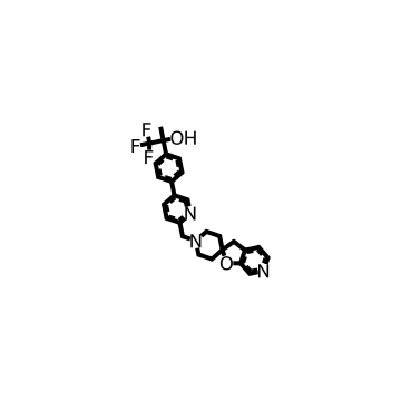 CC(O)(c1ccc(-c2ccc(CN3CCC4(CC3)Cc3ccncc3O4)nc2)cc1)C(F)(F)F